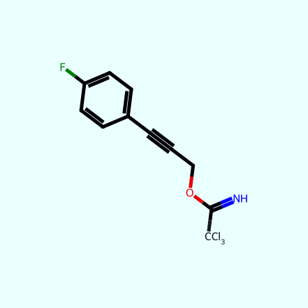 N=C(OCC#Cc1ccc(F)cc1)C(Cl)(Cl)Cl